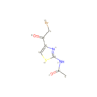 CC(=O)Nc1nc(C(=O)CBr)cs1